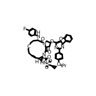 CC(C)Oc1ccc(-c2nc(O[C@@H]3C[C@H]4C(=O)N[C@]5(C(=O)NS(=O)(=O)C6CC6)C[C@H]5C=CCCCCC[C@H](Nc5ccc(F)cc5)C(=O)N4C3)c3oc4ccccc4c3n2)cc1